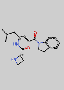 CC(C)C[C@@H](C=CC(=O)N1CCc2ccccc21)NC(=O)[C@@H]1CCN1